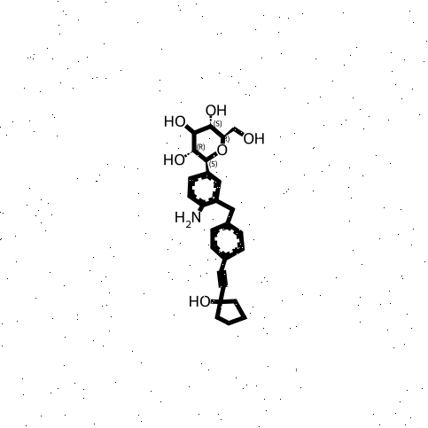 Nc1ccc([C@@H]2O[C@H](CO)[C@@H](O)C(O)[C@H]2O)cc1Cc1ccc(C#CC2(O)CCCC2)cc1